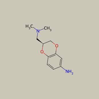 CN(C)C[C@H]1COc2cc(N)ccc2O1